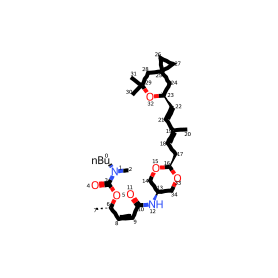 CCCCN(C)C(=O)O[C@@H](C)/C=C\C(=O)N[C@H]1CO[C@@H](C/C=C(C)/C=C/[C@@H]2CC3(CC3)CC(C)(C)O2)OC1